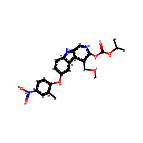 COCc1c(OC(=O)OC(C)C)ncc2[nH]c3ccc(Oc4ccc([N+](=O)[O-])cc4C)cc3c12